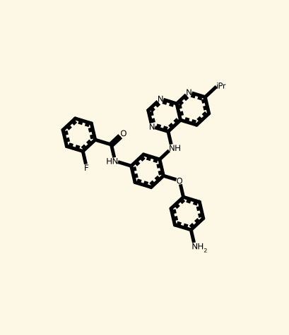 CC(C)c1ccc2c(Nc3cc(NC(=O)c4ccccc4F)ccc3Oc3ccc(N)cc3)ncnc2n1